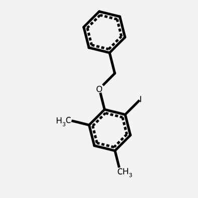 Cc1cc(C)c(OCc2ccccc2)c(I)c1